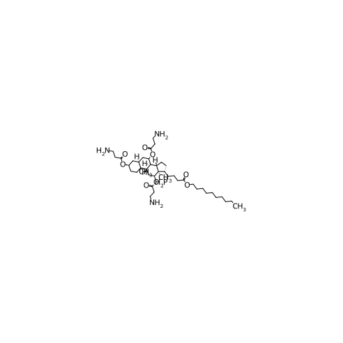 CCCCCCCCCCOC(=O)CC[C@@H](P)[C@H]1CC[C@H]2[C@@H]3[C@H](OC(=O)CCN)C[C@@H]4C[C@H](OC(=O)CCN)CC[C@]4(C)[C@H]3C[C@H](OC(=O)CCN)[C@]12C